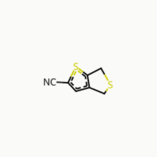 N#Cc1cc2c(s1)CSC2